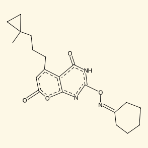 CC1(CCCc2cc(=O)oc3nc(ON=C4CCCCC4)[nH]c(=O)c23)CC1